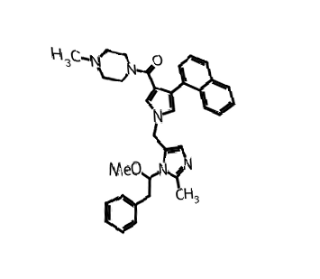 COC(Cc1ccccc1)n1c(Cn2cc(C(=O)N3CCN(C)CC3)c(-c3cccc4ccccc34)c2)cnc1C